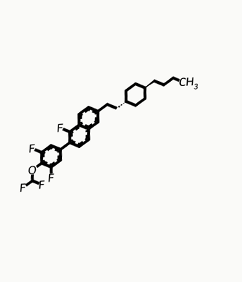 CCCC[C@H]1CC[C@H](CCc2ccc3c(F)c(-c4cc(F)c(OC(F)F)c(F)c4)ccc3c2)CC1